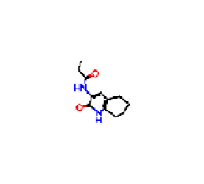 CCC(=O)Nc1cc2c([nH]c1=O)CCCC2